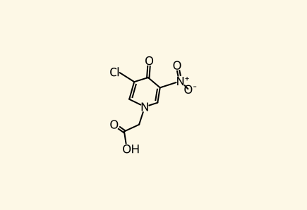 O=C(O)Cn1cc(Cl)c(=O)c([N+](=O)[O-])c1